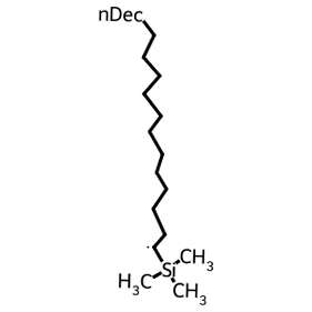 CCCCCCCCCCCCCCCCCCCCC[CH][Si](C)(C)C